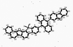 CC1(C)c2cc(-c3c4ccccc4c(-c4ccc5c(c4)oc4ccccc45)c4ccccc34)ccc2-c2ccc3c(oc4c5ccccc5ccc34)c21